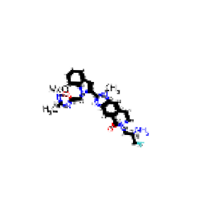 COc1cccc2cc(-c3nc4cc5c(cc4n3C)CCN(C[C@H](N)CF)C5=O)n(Cc3nc(C)no3)c12